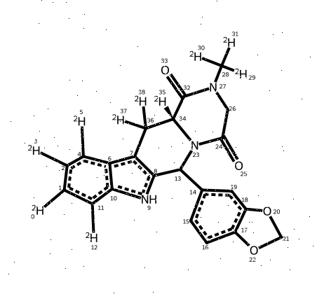 [2H]c1c([2H])c([2H])c2c3c([nH]c2c1[2H])C(c1ccc2c(c1)OCO2)N1C(=O)CN(C([2H])([2H])[2H])C(=O)[C@@]1([2H])C3([2H])[2H]